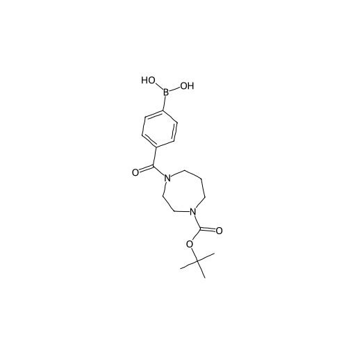 CC(C)(C)OC(=O)N1CCCN(C(=O)c2ccc(B(O)O)cc2)CC1